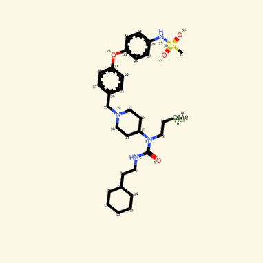 COCCN(C(=O)NCCC1CCCCC1)C1CCN(Cc2ccc(Oc3ccc(NS(C)(=O)=O)cc3)cc2)CC1.Cl